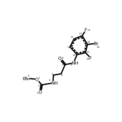 CC(C)(C)OC(=O)NCCC(=O)Nc1ccc(F)c(Br)c1F